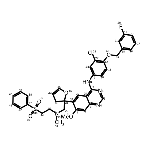 COc1cc2ncnc(Nc3ccc(OCc4cccc(F)c4)c(Cl)c3)c2cc1C1(CN(C)CCS(=O)(=O)c2ccccc2)CC=CO1